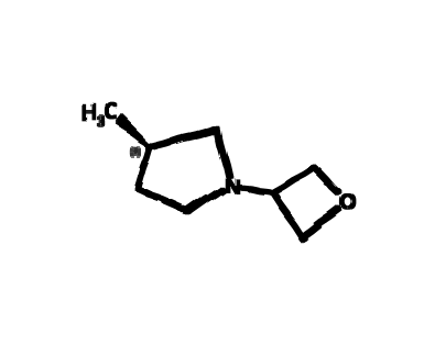 C[C@@H]1CCN(C2COC2)C1